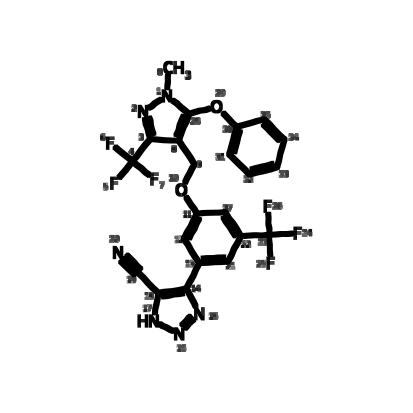 Cn1nc(C(F)(F)F)c(COc2cc(-c3nn[nH]c3C#N)cc(C(F)(F)F)c2)c1Oc1ccccc1